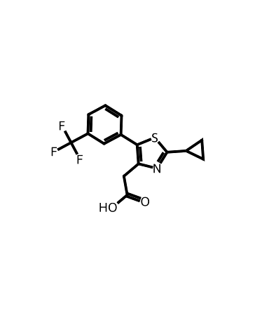 O=C(O)Cc1nc(C2CC2)sc1-c1cccc(C(F)(F)F)c1